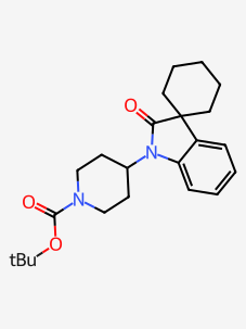 CC(C)(C)OC(=O)N1CCC(N2C(=O)C3(CCCCC3)c3ccccc32)CC1